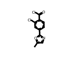 Cc1cnc(-c2ccc(C(=O)Cl)c(Cl)c2)o1